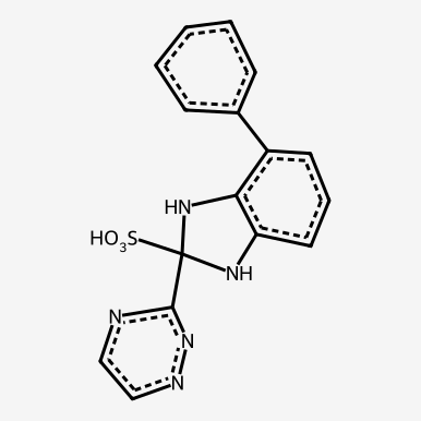 O=S(=O)(O)C1(c2nccnn2)Nc2cccc(-c3ccccc3)c2N1